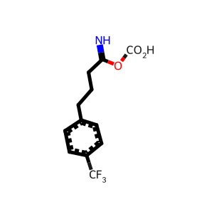 N=C(CCCc1ccc(C(F)(F)F)cc1)OC(=O)O